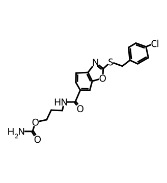 NC(=O)OCCCNC(=O)c1ccc2nc(SCc3ccc(Cl)cc3)oc2c1